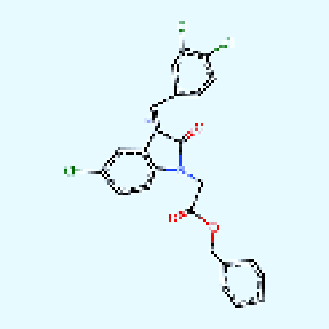 O=C(CN1C(=O)/C(=C\c2ccc(Cl)c(Cl)c2)c2cc(Cl)ccc21)OCc1ccccc1